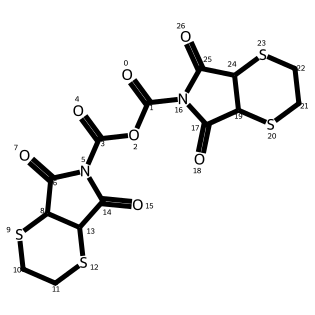 O=C(OC(=O)N1C(=O)C2SCCSC2C1=O)N1C(=O)C2SCCSC2C1=O